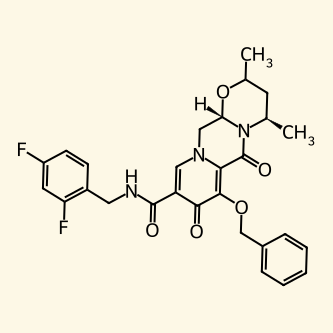 CC1C[C@@H](C)N2C(=O)c3c(OCc4ccccc4)c(=O)c(C(=O)NCc4ccc(F)cc4F)cn3C[C@@H]2O1